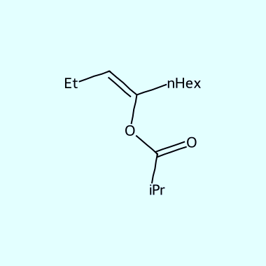 CCC=C(CCCCCC)OC(=O)C(C)C